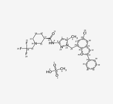 CS(=O)(=O)O.Cc1cc(NC(=O)[C@@H]2CCCN(CC(F)(F)F)C2)nn1Cc1cc(Cl)cc2cc(-c3ccccc3)oc12